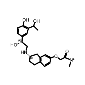 CC(O)c1cc([C@@H](O)CN[C@H]2CCc3ccc(OCC(=O)N(C)C)cc3C2)ccc1O